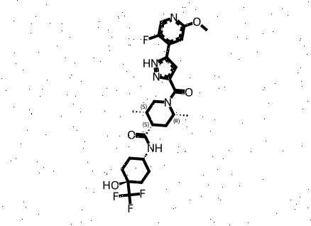 COc1cc(-c2cc(C(=O)N3C[C@@H](C)[C@@H](C(=O)N[C@H]4CC[C@@](O)(C(F)(F)F)CC4)C[C@H]3C)n[nH]2)c(F)cn1